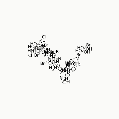 CCN(CC)CC.CCOC(N)=O.CC[C@]1(O)C[C@H]2CN(CCc3c([nH]c4ccccc34)[C@@](C(=O)OC)(c3cc4c(cc3OC)N(C)[C@H]3[C@@](O)(C(N)=O)[C@H](O)[C@]5(CC)C=CCN6CC[C@]43[C@@H]65)C2)C1.CN(C)/N=N/c1[nH]cnc1C(N)=O.O=C(CCBr)N1CCN(C(=O)CCBr)CC1.OC(CBr)C(O)C(O)C(O)CBr.OC(CBr)C(O)C(O)C(O)CBr.O[C@@H]([C@H](O)[C@H](O)CNCCCl)[C@H](O)CNCCCl